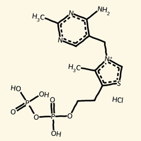 Cc1ncc(C[n+]2csc(CCOP(=O)(O)OP(=O)(O)O)c2C)c(N)n1.Cl